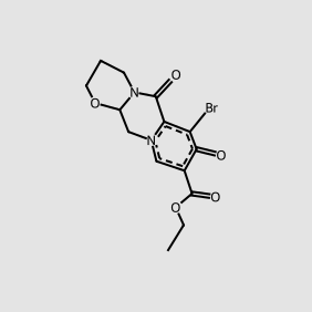 CCOC(=O)c1cn2c(c(Br)c1=O)C(=O)N1CCCOC1C2